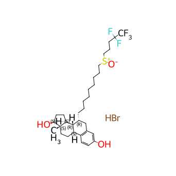 Br.C[C@]12CC[C@@H]3c4ccc(O)cc4C[C@@H](CCCCCCCCC[S+]([O-])CCCC(F)(F)C(F)(F)F)[C@H]3[C@@H]1CC[C@@H]2O